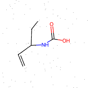 C=CC(CC)NC(=O)O